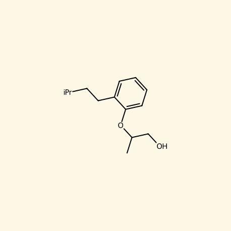 CC(C)CCc1ccccc1OC(C)CO